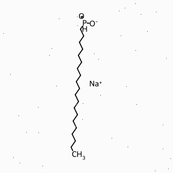 CCCCCCCCCCCCCCCCCCCC[PH](=O)[O-].[Na+]